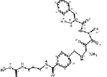 C[C@H](NCc1ccc(C(=O)NCCCNC(=O)OC(C)(C)C)cc1)C(=O)C(=O)[C@H](C)NC(=O)[C@H](Cc1ccccc1)NN